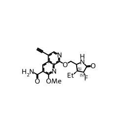 C#Cc1cnc(OCC2NC(=O)[C@@H](F)[C@H]2CC)c2nc(OC)c(C(N)=O)cc12